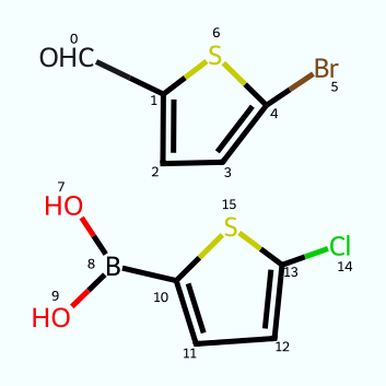 O=Cc1ccc(Br)s1.OB(O)c1ccc(Cl)s1